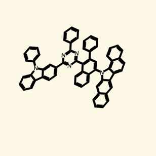 c1ccc(-c2nc(-c3ccc4c5ccccc5n(-c5ccccc5)c4c3)nc(-c3c(-c4ccccc4)cc(-n4c5cc6ccccc6cc5c5ccc6ccccc6c54)c4ccccc34)n2)cc1